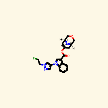 CN1[C@@H]2COC[C@H]1CC(OC(=O)c1cn(-c3cnn(CCF)c3)c3ccccc13)C2